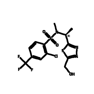 C[C@@H](c1nnc(CO)s1)N(C)S(=O)(=O)c1ccc(C(F)(F)F)cc1Cl